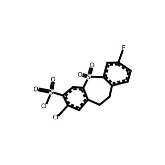 O=S(=O)(Cl)c1cc2c(cc1Cl)CCc1ccc(F)cc1S2(=O)=O